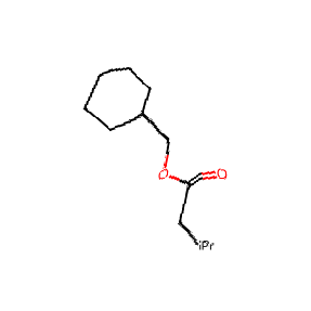 CC(C)CC(=O)OCC1CCCCC1